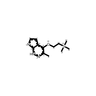 Cc1n[nH]c2nccc-2c1OCC[Si](C)(C)C